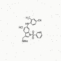 CNCc1cn(S(=O)(=O)c2cccnc2)c2cc(Nc3ccc(C#N)cc3C)ccc12.Cl